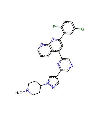 CN1CCC(n2cc(-c3cncc(-c4cc(-c5cc(Cl)ccc5F)nc5ncccc45)n3)cn2)CC1